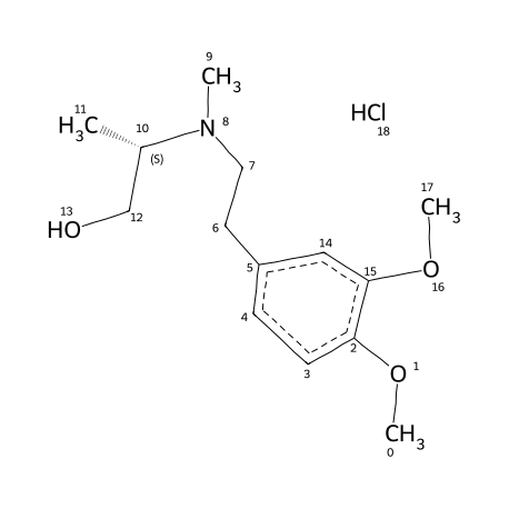 COc1ccc(CCN(C)[C@@H](C)CO)cc1OC.Cl